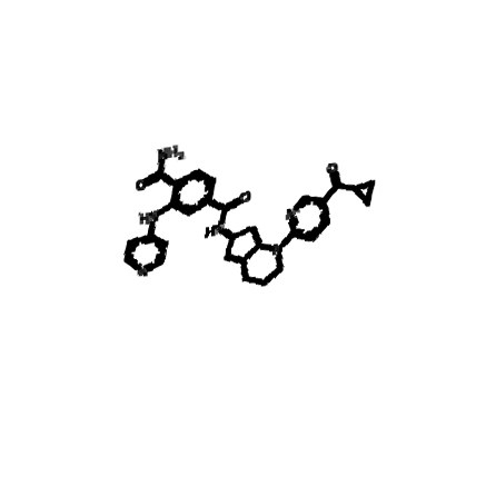 NC(=O)c1ccc(C(=O)NC2CC3CCCN(c4ccc(C(=O)C5CC5)cn4)C3C2)cc1Nc1ccncc1